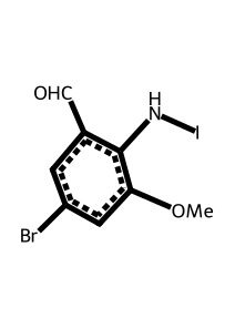 COc1cc(Br)cc(C=O)c1NI